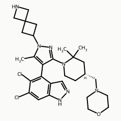 Cc1c(-c2c(Cl)c(Cl)cc3[nH]ncc23)c(N2CC[C@@H](CN3CCOCC3)CC2(C)C)nn1C1CC2(CNC2)C1